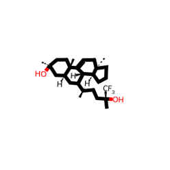 C[C@H](CC[C@@](C)(O)C(F)(F)F)C1C[C@H]2C[C@@](C)(O)CC[C@]2(C)C2=CC[C@@]3(C)CCC[C@H]3[C@@H]21